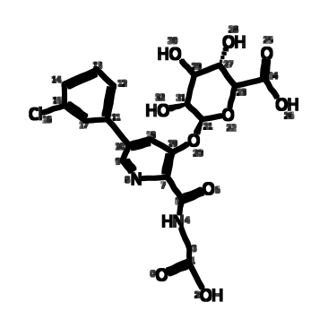 O=C(O)CNC(=O)c1ncc(-c2cccc(Cl)c2)cc1O[C@@H]1OC(C(=O)O)[C@@H](O)C(O)[C@@H]1O